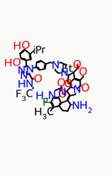 CC[C@]1(C(C(=O)OC(=O)CN)N2CCN(Cc3ccc(-n4c(C(=O)NCC(F)(F)F)nnc4-c4cc(C(C)C)c(O)cc4O)cc3)CC2)C(=O)OCc2c1cc1n(c2=O)Cc2c-1nc1cc(F)c(C)c3c1c2[C@@H](N)CC3